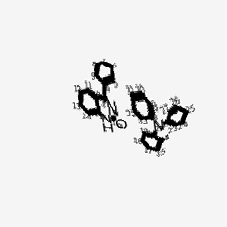 O=c1nc(-c2ccccc2)c2ccccc2[nH]1.c1ccc(N(c2ccccc2)c2ccccc2)cc1